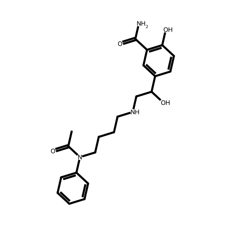 CC(=O)N(CCCCNCC(O)c1ccc(O)c(C(N)=O)c1)c1ccccc1